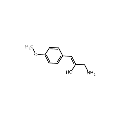 COc1ccc(C=C(O)CN)cc1